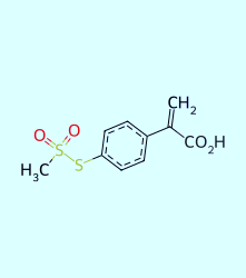 C=C(C(=O)O)c1ccc(SS(C)(=O)=O)cc1